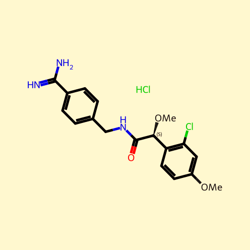 COc1ccc([C@H](OC)C(=O)NCc2ccc(C(=N)N)cc2)c(Cl)c1.Cl